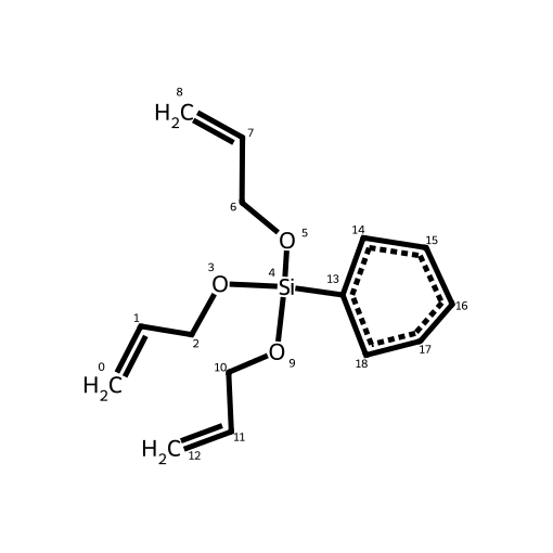 C=CCO[Si](OCC=C)(OCC=C)c1ccccc1